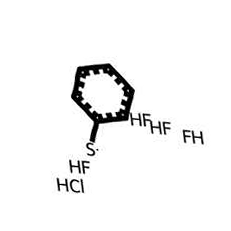 Cl.F.F.F.F.[S]c1ccccc1